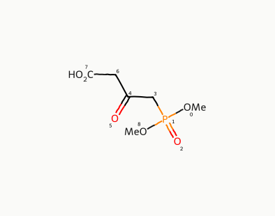 COP(=O)(CC(=O)CC(=O)O)OC